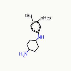 CCCCCCc1cc(NC2CCC(N)CC2)ccc1C(C)(C)C